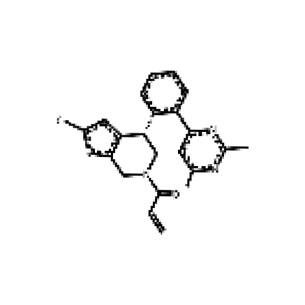 C=CC(=O)N1Cc2sc(Cl)cc2[C@H](c2ccccc2-c2cc(C)nc(C)n2)C1